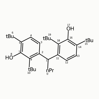 CCCC(c1ccc(C(C)(C)C)c(O)c1C(C)(C)C)c1ccc(C(C)(C)C)c(O)c1C(C)(C)C